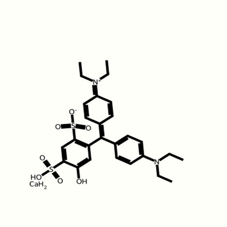 CCN(CC)c1ccc(C(=C2C=CC(=[N+](CC)CC)C=C2)c2cc(O)c(S(=O)(=O)O)cc2S(=O)(=O)[O-])cc1.[CaH2]